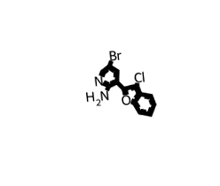 Nc1ncc(Br)cc1-c1oc2ccccc2c1Cl